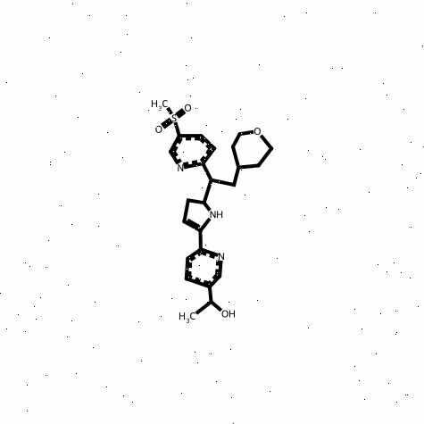 CC(O)c1ccc(C2=CCC(C(CC3CCOCC3)c3ccc(S(C)(=O)=O)cn3)N2)nc1